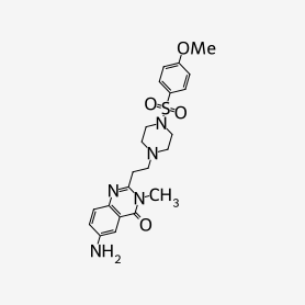 COc1ccc(S(=O)(=O)N2CCN(CCc3nc4ccc(N)cc4c(=O)n3C)CC2)cc1